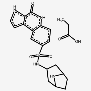 CCC(=O)O.O=c1[nH]c2ccc(S(=O)(=O)NC3CC4CCC(C3)N4)cc2c2cc[nH]c12